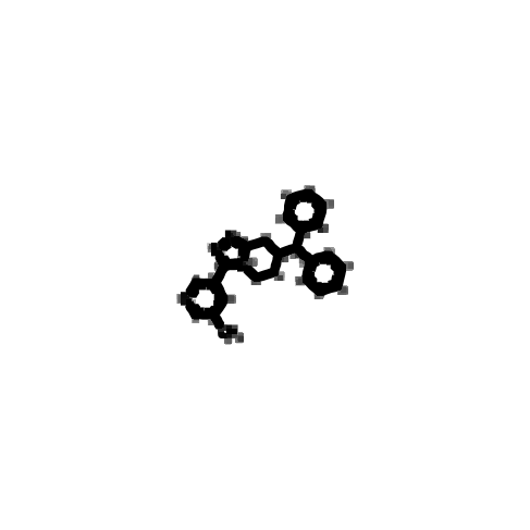 Cc1cncc(-c2nnc3n2CCC(C(c2ccccc2)c2ccccc2)C3)c1